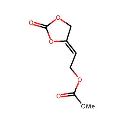 COC(=O)OCC=C1COC(=O)O1